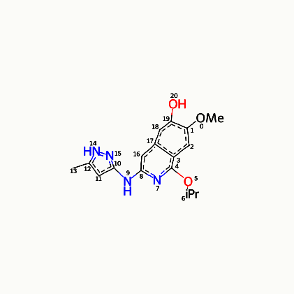 COc1cc2c(OC(C)C)nc(Nc3cc(C)[nH]n3)cc2cc1O